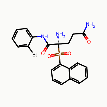 CCc1ccccc1NC(=O)[C@@](N)(CCC(N)=O)S(=O)(=O)c1cccc2ccccc12